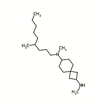 CCCCCC(C)CCCN(C)C1CCC2(CC1)CC(NC)C2